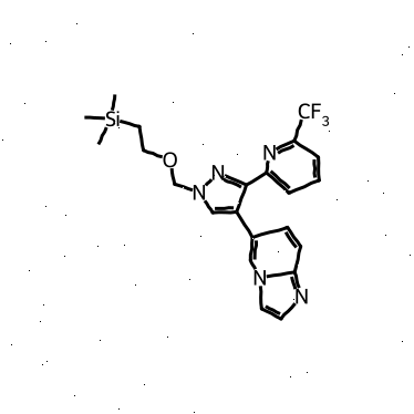 C[Si](C)(C)CCOCn1cc(-c2ccc3nccn3c2)c(-c2cccc(C(F)(F)F)n2)n1